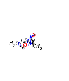 Cc1cc(N=O)n(C[C@H]2CN(C)CCO2)n1